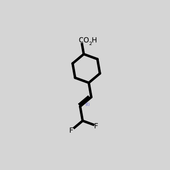 O=C(O)C1CCC(/C=C/C(F)F)CC1